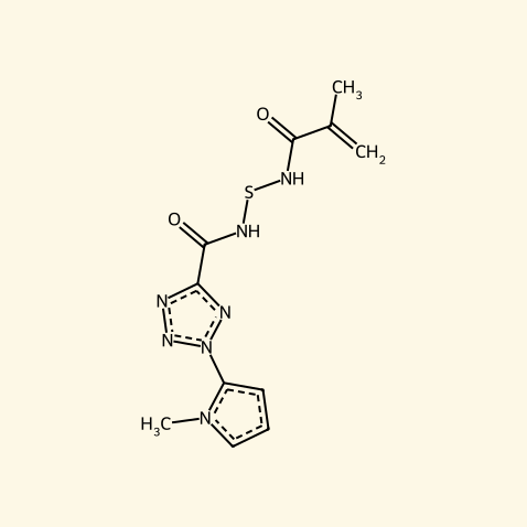 C=C(C)C(=O)NSNC(=O)c1nnn(-c2cccn2C)n1